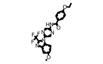 CCOc1ccc(C(=O)Nc2cnc(-n3c(C(F)(F)F)nc4cc(OC)ccc43)cn2)cc1